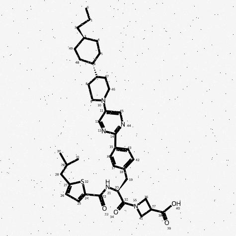 CCC[C@H]1CC[C@H](C2CCN(c3cnc(-c4ccc(C[C@H](NC(=O)c5ccc(CC(C)C)s5)C(=O)N5CC(C(=O)O)C5)cc4)nc3)CC2)CC1